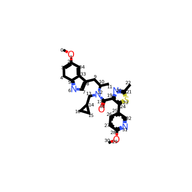 COC1=CCC2=NC=C(CC(C)N(CC3CC3)C(=O)c3nc(C)sc3-c3ccc(OC)nc3)C2=C1